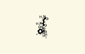 C[C@@H]1CC[C@@H](CNC(=O)[C@@H](N)CCC(N)=O)[C@@](N)(C(=O)O)C1